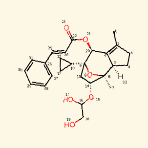 CC1=C2[C@@H](CC1)[C@]1(C)O[C@@](C3CC3)(C[C@H]1OC(O)CO)[C@H]2OC(=O)/C=C/c1ccccc1